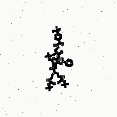 CN(CCNC(=O)c1ccc(C(F)(F)F)cc1)C(=O)[C@H](CCc1ccccc1)NC(=O)C(CC(=O)N(CCNC(=O)OC(C)(C)C)CCNC(=O)OC(C)(C)C)NC(=O)OC(C)(C)C